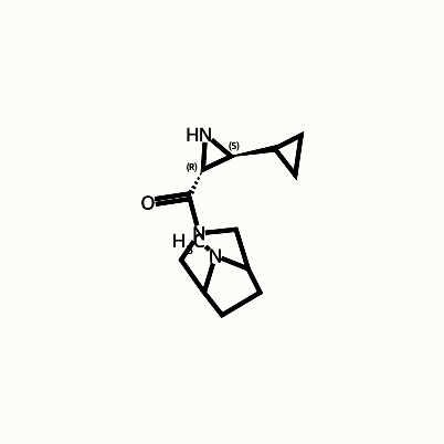 CN1C2CCC1CN(C(=O)[C@@H]1N[C@H]1C1CC1)C2